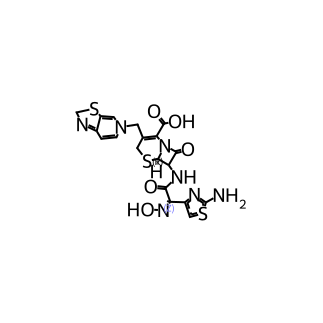 Nc1nc(/C(=N/O)C(=O)NC2C(=O)N3C(C(=O)O)=C(CN4C=CC5=NCSC5=C4)CS[C@H]23)cs1